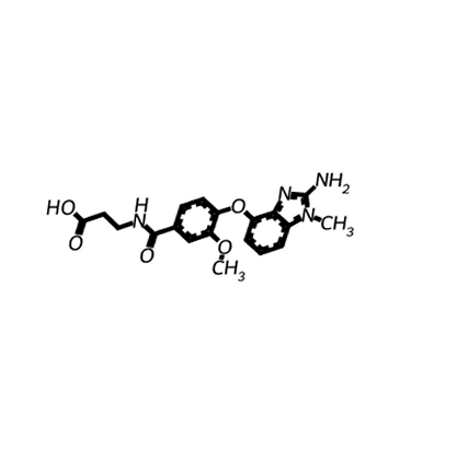 COc1cc(C(=O)NCCC(=O)O)ccc1Oc1cccc2c1nc(N)n2C